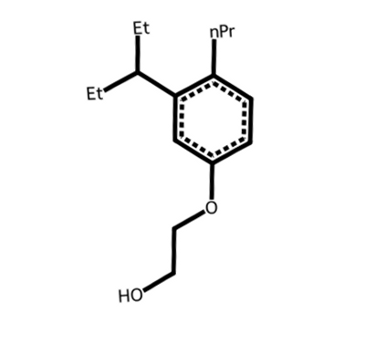 CCCc1ccc(OCCO)cc1C(CC)CC